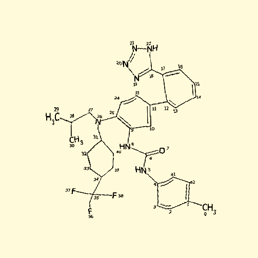 Cc1ccc(NC(=O)Nc2cc(-c3ccccc3-c3nnn[nH]3)ccc2N(CC(C)C)C2CCC(C(F)(F)F)CC2)cc1